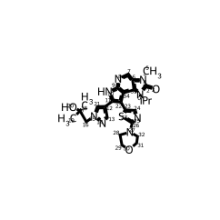 CC(C)n1c(=O)n(C)c2cnc3[nH]c(-c4cnn(CC(C)(C)O)c4)c(-c4cnc(N5CCOCC5)s4)c3c21